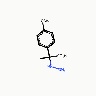 COc1ccc(C(C)(NN)C(=O)O)cc1